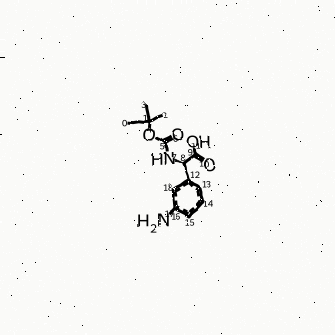 CC(C)(C)OC(=O)N[C@@H](C(=O)O)c1cccc(N)c1